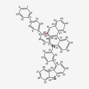 c1ccc(-c2ccc(-c3ccc(N(c4cccc(-c5cccc6sc7ccccc7c56)c4)c4ccccc4-c4cccc5ccccc45)cc3)cc2)cc1